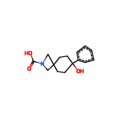 O=C(O)N1CC2(CCC(O)(c3ccccc3)CC2)C1